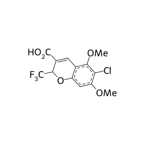 COc1cc2c(c(OC)c1Cl)C=C(C(=O)O)C(C(F)(F)F)O2